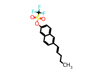 CCCC=Cc1ccc2cc(OS(=O)(=O)C(F)(F)F)ccc2c1